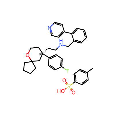 Cc1ccc(S(=O)(=O)O)cc1.Fc1ccc([C@]2(CCNCc3ccccc3-c3ccncc3)CCOC3(CCCC3)C2)cc1